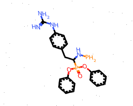 N=C(N)Nc1ccc(CC(NP)P(=O)(Oc2ccccc2)Oc2ccccc2)cc1